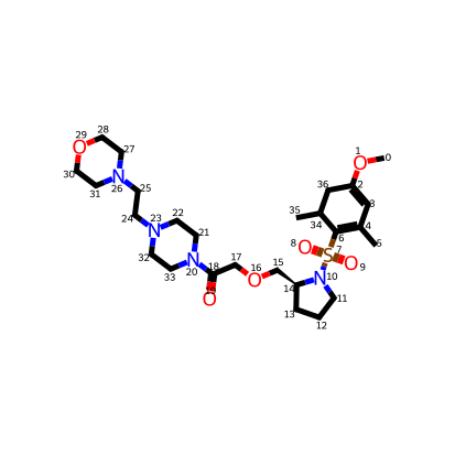 COC1=CC(C)=C(S(=O)(=O)N2CCC[C@H]2COCC(=O)N2CCN(CCN3CCOCC3)CC2)C(C)C1